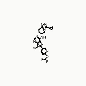 CCn1c(-c2ccc(OC(F)F)nc2)nc2c(N[C@@H]3CCc4nnc(C5CC5)n4C3)ncnc21